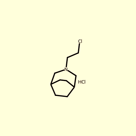 Cl.ClCCN1CC2CCC(CC2)C1